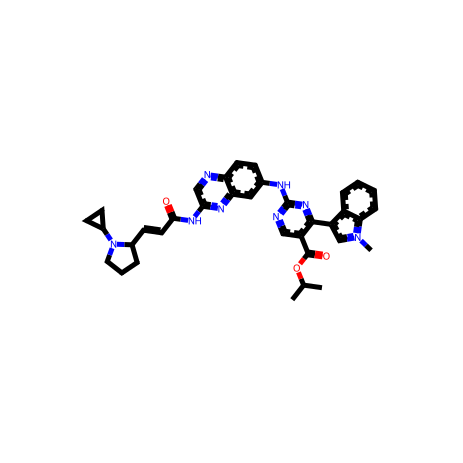 CC(C)OC(=O)c1cnc(Nc2ccc3ncc(NC(=O)C=CC4CCCN4C4CC4)nc3c2)nc1-c1cn(C)c2ccccc12